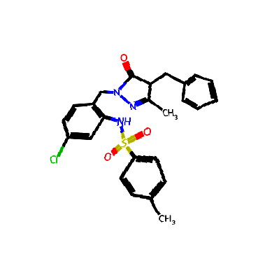 CC1=NN(Cc2ccc(Cl)cc2NS(=O)(=O)c2ccc(C)cc2)C(=O)C1Cc1ccccc1